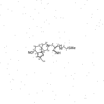 CSCCN/C=C(\C=N)CN1CCC2(CCC(C#N)c3cc(C)sc32)CC1